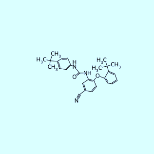 CC(C)(C)c1ccc(NC(=O)Nc2cc(C#N)ccc2Oc2ccccc2C(C)(C)C)cc1